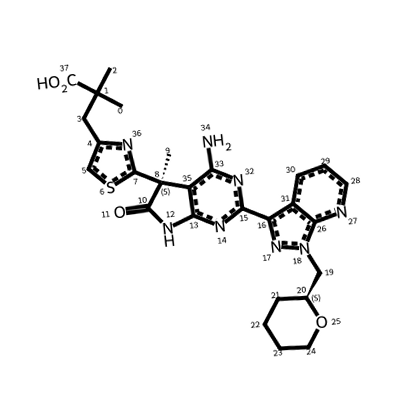 CC(C)(Cc1csc([C@]2(C)C(=O)Nc3nc(-c4nn(C[C@@H]5CCCCO5)c5ncccc45)nc(N)c32)n1)C(=O)O